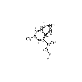 CCOC(=O)c1cc(Cl)nn2cnnc12